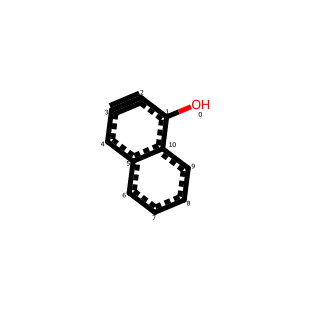 Oc1c#ccc2ccccc12